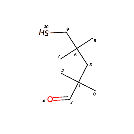 CC(C)(C=O)CC(C)(C)CS